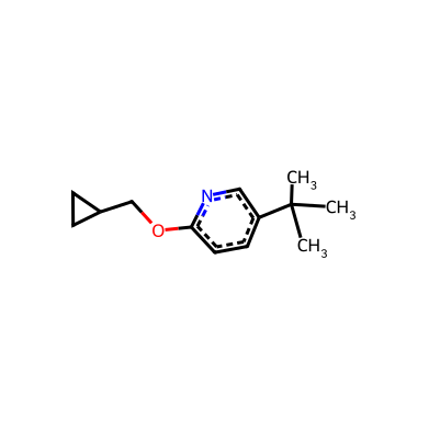 CC(C)(C)c1ccc(OCC2CC2)nc1